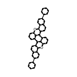 c1ccc(-c2ccc3c(ccc4c3oc3cccc5c3c4c3cccc4oc6c7ccc(-c8ccccc8)cc7ccc6c5c43)c2)cc1